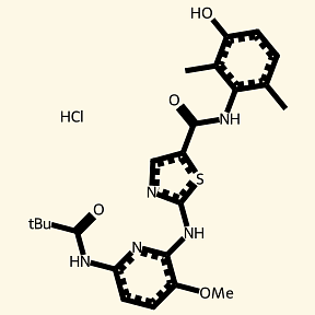 COc1ccc(NC(=O)C(C)(C)C)nc1Nc1ncc(C(=O)Nc2c(C)ccc(O)c2C)s1.Cl